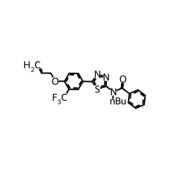 C=CCOc1ccc(-c2nnc(N(CCCC)C(=O)c3ccccc3)s2)cc1C(F)(F)F